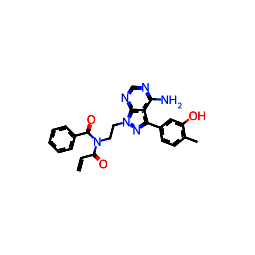 C=CC(=O)N(CCn1nc(-c2ccc(C)c(O)c2)c2c(N)ncnc21)C(=O)c1ccccc1